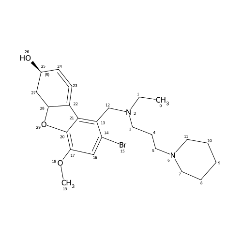 CCN(CCCN1CCCCC1)Cc1c(Br)cc(OC)c2c1C1=C=C[C@H](O)CC1O2